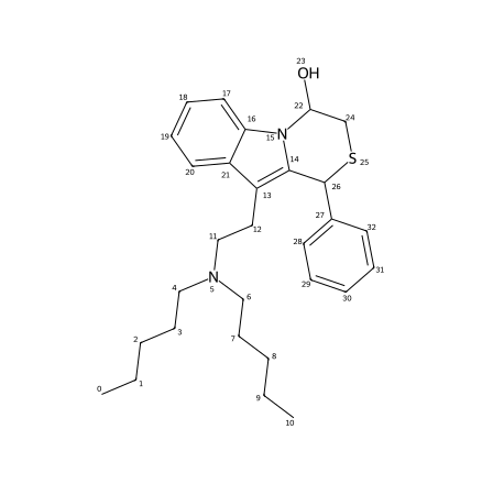 CCCCCN(CCCCC)CCc1c2n(c3ccccc13)C(O)CSC2c1ccccc1